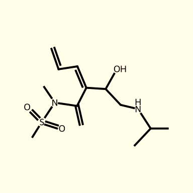 C=C/C=C(\C(=C)N(C)S(C)(=O)=O)C(O)CNC(C)C